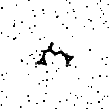 CC([CH]C1CO1)C[CH]C1CO1